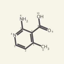 Cc1ccnc(N)c1C(=O)O